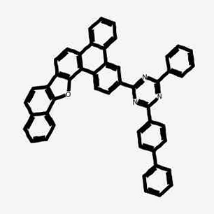 c1ccc(-c2ccc(-c3nc(-c4ccccc4)nc(-c4ccc5c(c4)c4ccccc4c4ccc6c7ccc8ccccc8c7oc6c45)n3)cc2)cc1